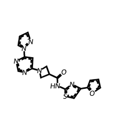 O=C(Nc1nc(-c2ccco2)cs1)C1CN(c2cc(-n3cccn3)ncn2)C1